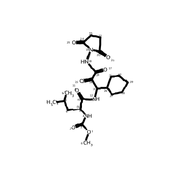 COC(=O)N[C@@H](CC(C)C)C(=O)NC(C(=O)C(=O)NN1C(=O)CCC1=O)C1CCCCC1